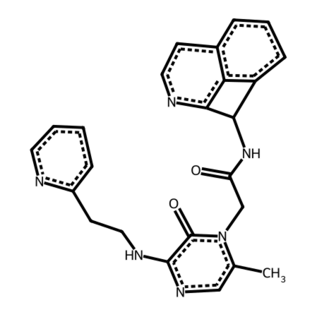 Cc1cnc(NCCc2ccccn2)c(=O)n1CC(=O)NC1c2cccc3ccnc1c23